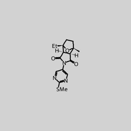 CC[C@@]12CC[C@@](C)(O1)[C@H]1C(=O)N(c3cnc(SC)nc3)C(=O)[C@H]12